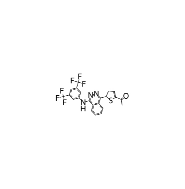 CC(=O)C1=CCC(c2nnc(Nc3cc(C(F)(F)F)cc(C(F)(F)F)c3)c3ccccc23)S1